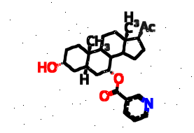 CC(=O)[C@H]1CCC2C3C(CC[C@@]21C)[C@@]1(C)CC[C@@H](O)C[C@H]1C[C@H]3OC(=O)c1cccnc1